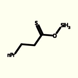 CCCCCC(=S)O[SiH3]